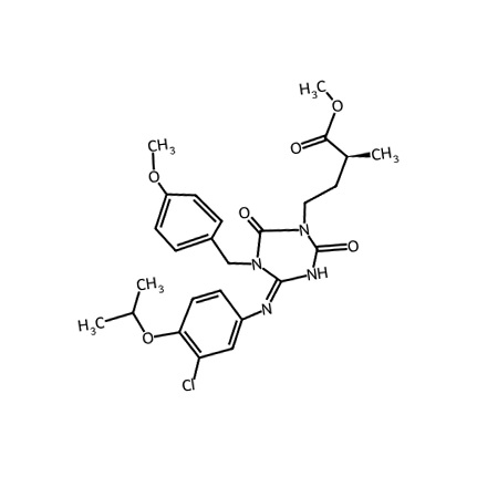 COC(=O)[C@@H](C)CCn1c(=O)[nH]/c(=N/c2ccc(OC(C)C)c(Cl)c2)n(Cc2ccc(OC)cc2)c1=O